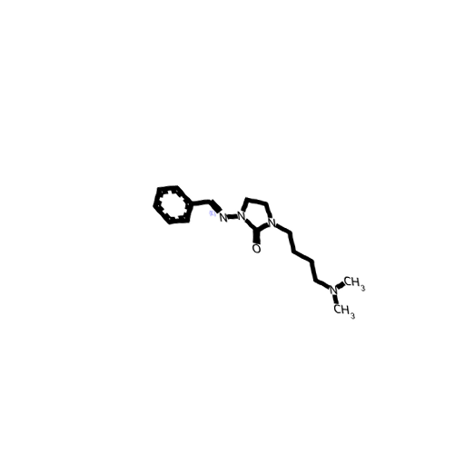 CN(C)CCCCN1CCN(/N=C/c2ccccc2)C1=O